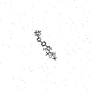 CC(C)(C)OC(=O)NC(c1ncc(-c2ccc(-c3ccc(B4OC(C)(C)C(C)(C)O4)s3)cc2)[nH]1)C(C)(C)C